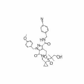 COc1ccc(Cn2nc(C(=O)NCc3ccc(C#N)cc3)c3c2C(=O)N(CC2(S(=O)(=O)C(C)(C)CO)CC2)CC3)cc1